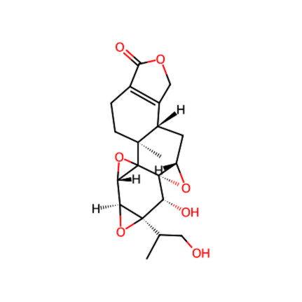 CC(CO)[C@]12O[C@H]1[C@@H]1OC13[C@]1(O[C@H]1C[C@H]1C4=C(CC[C@@]13C)C(=O)OC4)[C@@H]2O